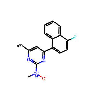 CC(C)c1cc(-c2ccc(F)c3ccccc23)nc([NH+](C)[O-])n1